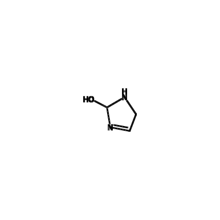 OC1N=CCN1